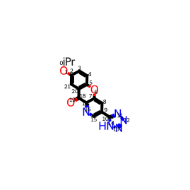 CC(C)Oc1ccc2oc3cc(-c4nnn[nH]4)cnc3c(=O)c2c1